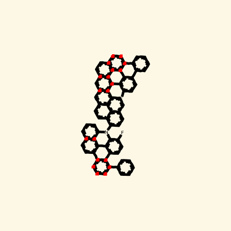 Fc1ccc(-c2ccccc2-c2ccccc2)c(-c2ccccc2-c2ccccc2)c1N(c1ccccc1)c1ccc2ccc3c(N(c4ccccc4)c4c(F)ccc(-c5ccccc5-c5ccccc5)c4-c4ccccc4-c4ccccc4)ccc4ccc1c2c43